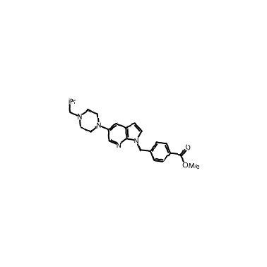 COC(=O)c1ccc(Cn2ccc3cc(N4CCN(CC(C)C)CC4)cnc32)cc1